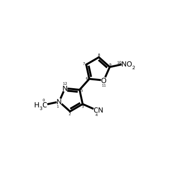 Cn1cc(C#N)c(-c2ccc([N+](=O)[O-])o2)n1